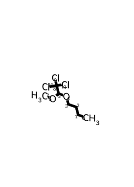 CCCCOC(OC)C(Cl)(Cl)Cl